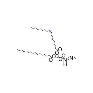 CCCCCCCC/C=C\CCCCCCCC(=O)OCC(COC(=O)CCCCCCCCCCCCCCC)OC(=O)NC1CN(CC)C1